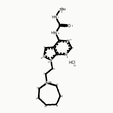 CC(C)(C)NC(=O)Nc1ncnc2c1cnn2CCN1CCCCCC1.Cl